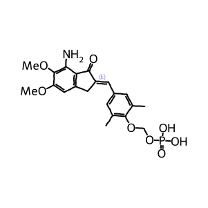 COc1cc2c(c(N)c1OC)C(=O)/C(=C/c1cc(C)c(OCOP(=O)(O)O)c(C)c1)C2